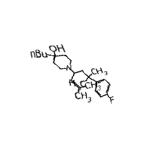 CCCCC1(O)CCN(C(C=C(C)C)CC(C)(C)c2ccc(F)cc2)CC1